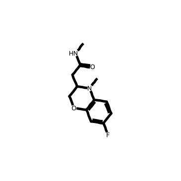 CNC(=O)CC1COc2cc(F)ccc2N1C